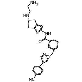 N#Cc1ccc(-c2cnn(Cc3cccc(C(=O)Nc4nc5c(s4)C[C@@H](NCCN)CC5)c3)c2)cc1